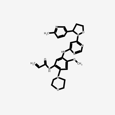 C=CC(=O)Nc1cc(Nc2cc(N3OCCC3c3ccc(C)nc3)ncn2)c(OC)cc1N1CCOCC1